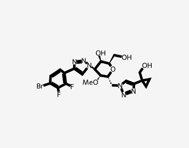 CO[C@@H]1[C@@H](n2cc(-c3ccc(Br)c(F)c3F)nn2)[C@@H](O)[C@@H](CO)O[C@@H]1Cn1cc(C2(CO)CC2)nn1